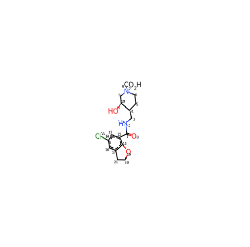 O=C(NC[C@@H]1CCN(C(=O)O)C[C@@H]1O)c1cc(Cl)cc2c1OCC2